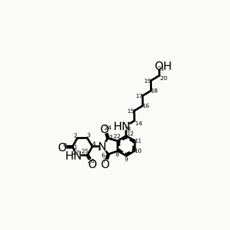 O=C1CCC(N2C(=O)c3cccc(NCCCCCCCO)c3C2=O)C(=O)N1